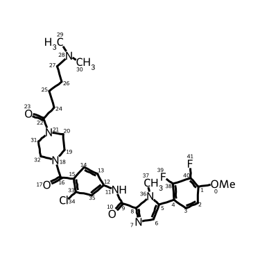 COc1ccc(-c2cnc(C(=O)Nc3ccc(C(=O)N4CCN(C(=O)CCCCN(C)C)CC4)c(Cl)c3)n2C)c(F)c1F